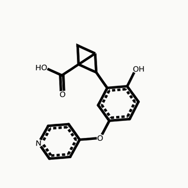 O=C(O)C12CC1C2c1cc(Oc2ccncc2)ccc1O